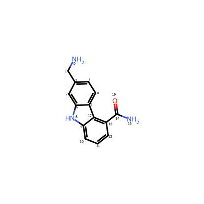 NCc1ccc2c(c1)[nH]c1cccc(C(N)=O)c12